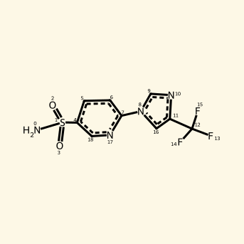 NS(=O)(=O)c1ccc(-n2cnc(C(F)(F)F)c2)nc1